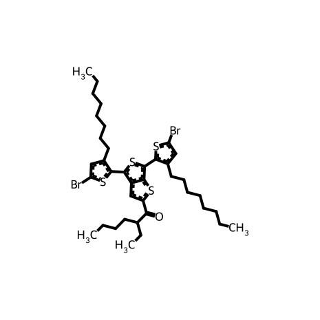 CCCCCCCCc1cc(Br)sc1-c1sc(-c2sc(Br)cc2CCCCCCCC)c2sc(C(=O)C(CC)CCCC)cc12